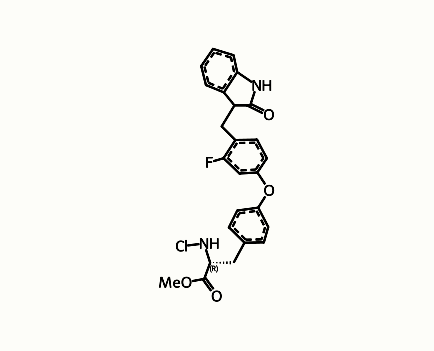 COC(=O)[C@@H](Cc1ccc(Oc2ccc(CC3C(=O)Nc4ccccc43)c(F)c2)cc1)NCl